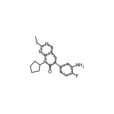 CSc1ncc2cc(-c3ccc(F)c(N)c3)c(=O)n(C3CCCC3)c2n1